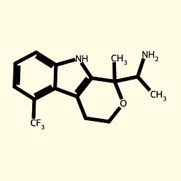 CC(N)C1(C)OCCc2c1[nH]c1cccc(C(F)(F)F)c21